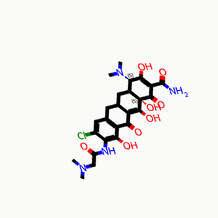 CN(C)CC(=O)Nc1c(Cl)cc2c(c1O)C(=O)C1=C(O)[C@]3(O)C(=O)C(C(N)=O)=C(O)[C@@H](N(C)C)C3CC1C2